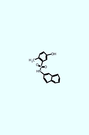 Cc1ccc(O)cc1S(=O)(=O)Nc1ccc2ccccc2c1